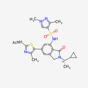 CC(=O)Nc1nc(C)c(-c2cc3c(c(NS(=O)(=O)c4cn(C)nc4C)c2)C(=O)N([C@@H](C)C2CC2)C3)s1